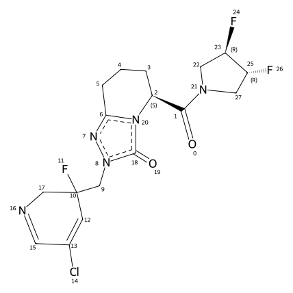 O=C([C@@H]1CCCc2nn(CC3(F)C=C(Cl)C=NC3)c(=O)n21)N1C[C@@H](F)[C@H](F)C1